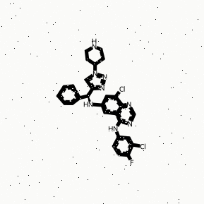 Fc1ccc(Nc2ncnc3c(Cl)cc(N[C@@H](c4ccccc4)c4cn(C5CCNCC5)nn4)cc23)cc1Cl